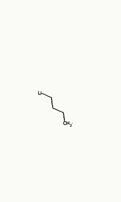 [Li][CH2]CC[CH2]